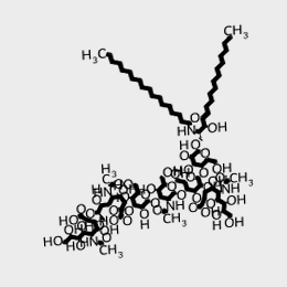 CCCCCCCCCCCCC/C=C/[C@@H](O)[C@H](CO[C@@H]1OC(CO)[C@@H](O[C@@H]2OC(CO)[C@H](O[C@@H]3OC(CO)[C@H](O)[C@H](O[C@@H]4OC(CO)[C@H](O)[C@H](O[C@]5(C(=O)O)CC(O)[C@@H](NC(C)=O)C([C@H](O)[C@@H](CO)O[C@]6(C(=O)O)CC(O)[C@@H](NC(C)=O)C([C@H](O)[C@H](O)CO)O6)O5)C4O)C3NC(C)=O)[C@H](O[C@]3(C(=O)O)CC(O)[C@@H](NC(C)=O)C([C@H](O)[C@H](O)CO)O3)C2O)[C@H](O)C1O)NC(=O)CCCCCCCCCCCCCCCCC